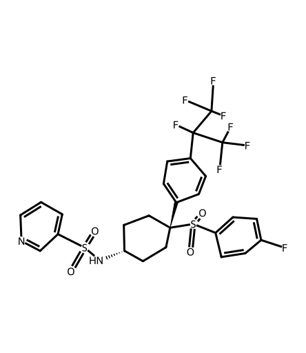 O=S(=O)(N[C@H]1CC[C@@](c2ccc(C(F)(C(F)(F)F)C(F)(F)F)cc2)(S(=O)(=O)c2ccc(F)cc2)CC1)c1cccnc1